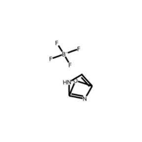 F[B-](F)(F)F.c1[nH]c2nc1O2